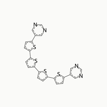 c1ncc(-c2ccc(-c3ccc(-c4ccc(-c5ccc(-c6cncnc6)s5)s4)s3)s2)cn1